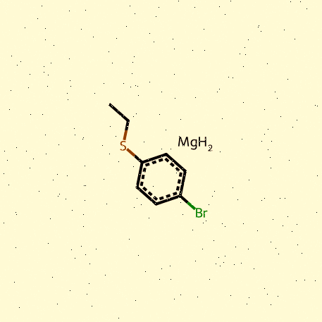 CCSc1ccc(Br)cc1.[MgH2]